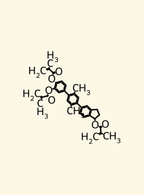 C=C(C)C(=O)Oc1ccc(-c2cc(C)c(-c3ccc4c(c3)CCC4OC(=O)C(=C)C)cc2C)cc1OC(=O)C(=C)C